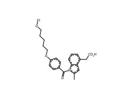 CCOCCCCCOc1ccc(C(=O)n2c(C)cc3c(CC(=O)O)cccc32)cc1